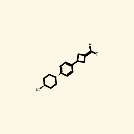 CC[C@H]1CC[C@H](c2ccc(C3CC(=C(F)F)C3)cc2)CC1